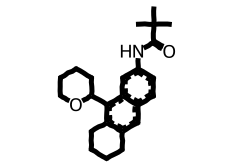 CC(C)(C)C(=O)Nc1ccc2cc3c(c(C4CCCCO4)c2c1)CCCC3